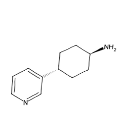 N[C@H]1CC[C@H](c2cccnc2)CC1